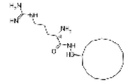 N=C(N)NCCC[C@H](N)C(=O)NBC1CCCCCCCCCCCCC1